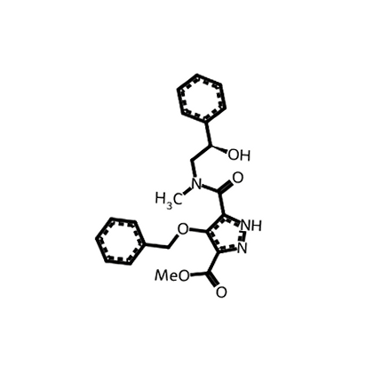 COC(=O)c1n[nH]c(C(=O)N(C)C[C@H](O)c2ccccc2)c1OCc1ccccc1